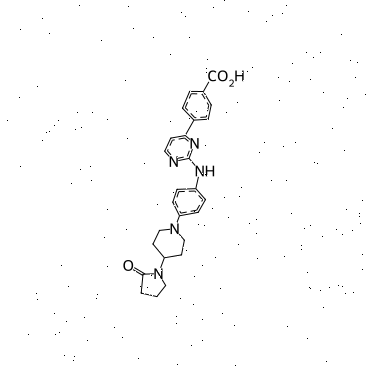 O=C(O)c1ccc(-c2ccnc(Nc3ccc(N4CCC(N5CCCC5=O)CC4)cc3)n2)cc1